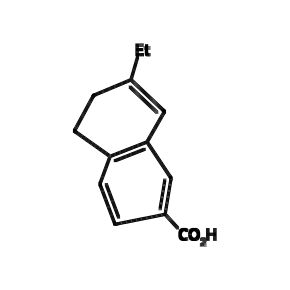 [CH2]CC1=Cc2cc(C(=O)O)ccc2CC1